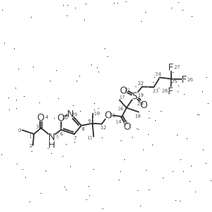 CC(C)C(=O)Nc1cc(C(C)(C)COC(=O)C(C)(C)S(=O)(=O)CCCC(F)(F)F)no1